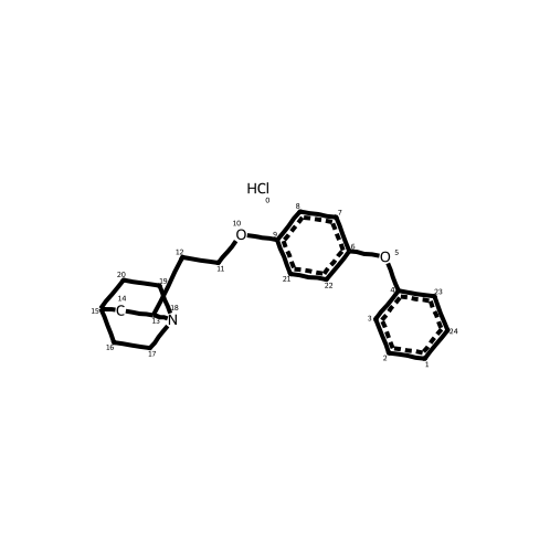 Cl.c1ccc(Oc2ccc(OCCC3CC4CCN3CC4)cc2)cc1